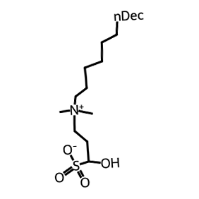 CCCCCCCCCCCCCCCC[N+](C)(C)CCC(O)S(=O)(=O)[O-]